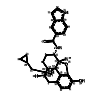 O=C(N[C@H]1CC[C@@]2(O)[C@H]3Cc4ccc(O)c5c4[C@@]2(CCN3CC2CC2)[C@H]1O5)c1ccc2[nH]ccc2c1